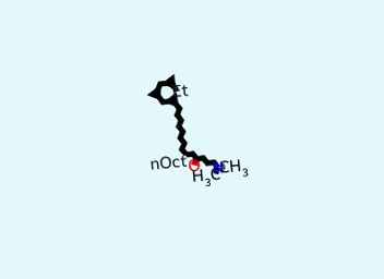 CCCCCCCCC(CCCCCCCCC1CC1CC1CC1CC1CC1CC)CC(=O)CCCN(C)C